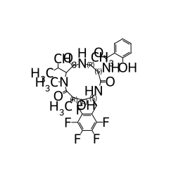 CC(C)C1C(=O)N[C@H](C)[C@H](NC(=O)c2ccccc2O)C(=O)N[C@@H](Cc2c(F)c(F)c(F)c(F)c2F)[C@@H](O)[C@@H](C)C(=O)N1C